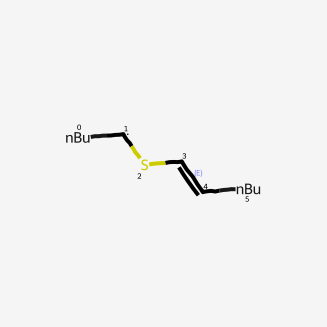 CCCC[CH]S/C=C/CCCC